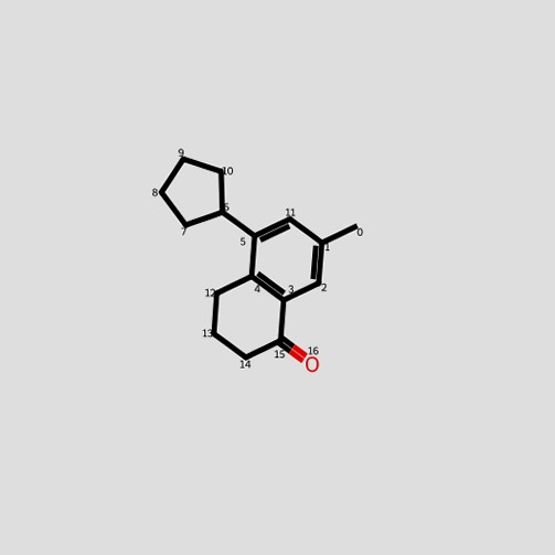 Cc1cc2c(c(C3CCCC3)c1)CCCC2=O